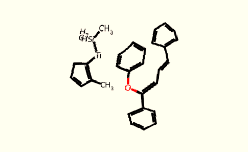 C(=Cc1ccccc1)C=C(Oc1ccccc1)c1ccccc1.CC1=[C]([Ti][SiH](C)C)CC=C1